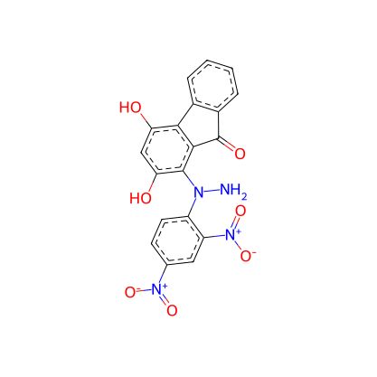 NN(c1ccc([N+](=O)[O-])cc1[N+](=O)[O-])c1c(O)cc(O)c2c1C(=O)c1ccccc1-2